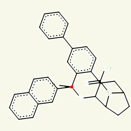 O=C(O)N1C2CCC1C(OCc1ccc3ccccc3c1)C(c1ccc(-c3ccccc3)cc1CS)C2